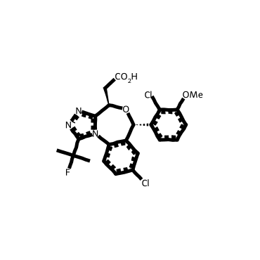 COc1cccc([C@H]2O[C@H](CC(=O)O)c3nnc(C(C)(C)F)n3-c3ccc(Cl)cc32)c1Cl